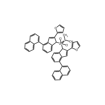 C[Si](C)=[Zr]([Cl])([Cl])([CH]1C(c2ccco2)=Cc2c(-c3cccc4ccccc34)cccc21)[CH]1C(c2ccco2)=Cc2c(-c3cccc4ccccc34)cccc21